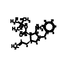 C=CC[C@H]1CN(Cc2ccccc2)C(N)[C@H]1C(=O)OC(C)(C)C